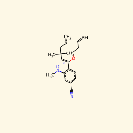 B=CCCO/C(=C\C(C)(C)CC=C)c1ccc(C#N)cc1NC